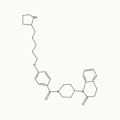 O=C(c1ccc(OCCCCCC2CCCN2)cc1)N1CCC(N2C(=O)CCc3ccccc32)CC1